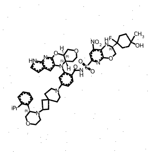 CC(C)c1ccccc1[C@@H]1COCCN1C1CC2(CCN(c3ccc(C(=O)NS(=O)(=O)c4cc([N+](=O)[O-])c5c(n4)OC[C@H](C4(F)CCC(C)(O)CC4)N5)c(N4c5cc6cc[nH]c6nc5O[C@H]5COCC[C@@H]54)c3)CC2)C1